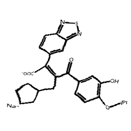 CC(C)Oc1ccc(C(=O)C(CC2CCCC2)=C(C(=O)[O-])c2ccc3nsnc3c2)cc1O.[Na+]